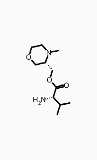 CC(C)[C@H](N)C(=O)OC[C@@H]1COCCN1C